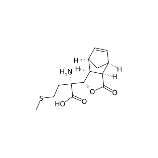 CSCC[C@](N)(C(=O)O)[C@H]1OC(=O)[C@H]2[C@@H]1[C@H]1C=C[C@@H]2C1